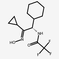 O=C(N[C@H](C(=NO)C1CC1)C1CCCCC1)C(F)(F)F